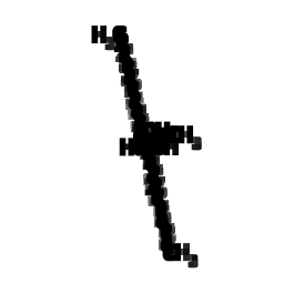 CCCCCCCCCCCCCCCCCCOC(O)(OCCCCCCCCCCCCCCCCCC)C(O)C(O)CCC